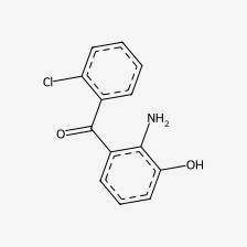 Nc1c(O)cccc1C(=O)c1ccccc1Cl